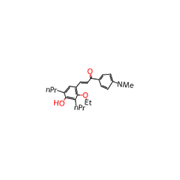 CCCc1cc(C=CC(=O)c2ccc(NC)cc2)c(OCC)c(CCC)c1O